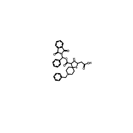 O=C(O)CC1NC(C(=O)OC(c2ccccc2)N2C(=O)c3ccccc3C2=O)C2(CCN(Cc3ccccc3)CC2)S1